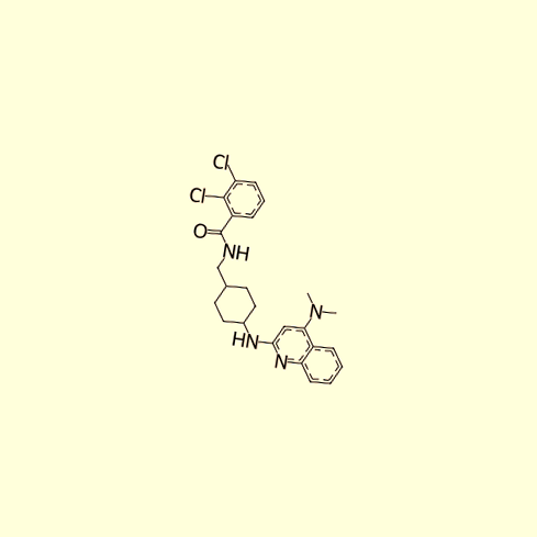 CN(C)c1cc(NC2CCC(CNC(=O)c3cccc(Cl)c3Cl)CC2)nc2ccccc12